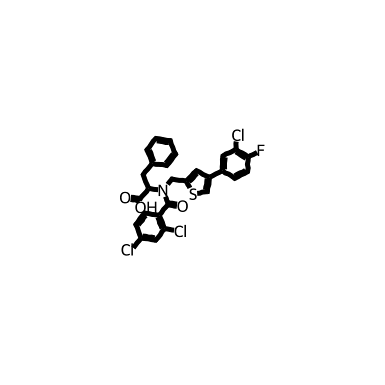 O=C(O)C(Cc1ccccc1)N(Cc1cc(-c2ccc(F)c(Cl)c2)cs1)C(=O)c1ccc(Cl)cc1Cl